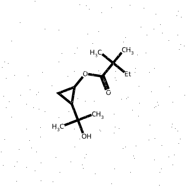 CCC(C)(C)C(=O)OC1CC1C(C)(C)O